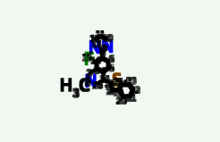 CN1Cc2c(ccc(-c3ncccn3)c2F)C(c2cc3ccccc3s2)C1